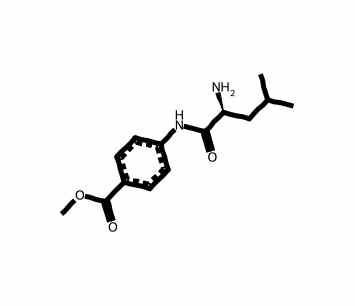 COC(=O)c1ccc(NC(=O)[C@@H](N)CC(C)C)cc1